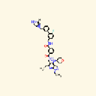 CCc1nc2c(cnn2CC)c(NC2CCOCC2)c1CNC(=O)c1cccc(C(=O)NCc2ccc(F)c(-c3cccc(CN4C[C@@H]5CC4CN5)c3)c2)c1